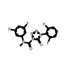 CN(C(=O)n1nnn(-c2c(F)cccc2F)c1=O)c1cc(F)cc(F)c1